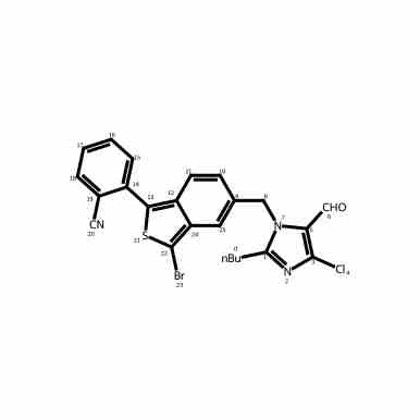 CCCCc1nc(Cl)c(C=O)n1Cc1ccc2c(-c3ccccc3C#N)sc(Br)c2c1